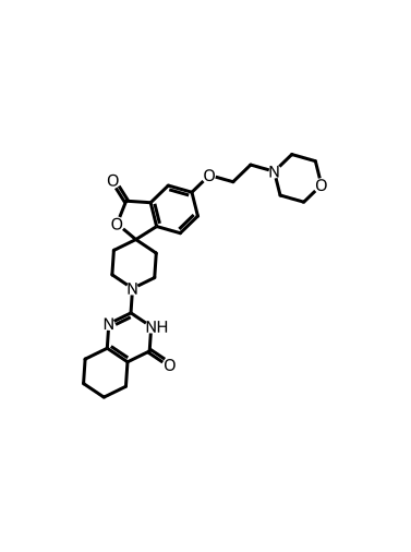 O=C1OC2(CCN(c3nc4c(c(=O)[nH]3)CCCC4)CC2)c2ccc(OCCN3CCOCC3)cc21